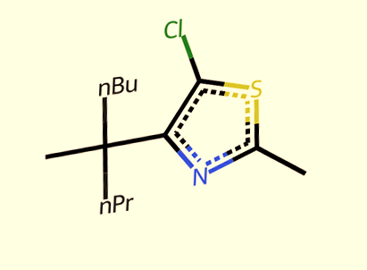 CCCCC(C)(CCC)c1nc(C)sc1Cl